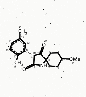 COC1CCC2(CC1)NC(=O)[C@H](c1cc(C)ccc1C)C2=O